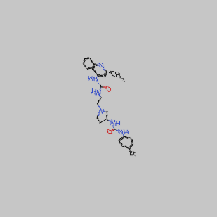 CCc1ccc(NC(=O)NC2CCN(CCNC(=O)Nc3cc(C)nc4ccccc34)C2)cc1